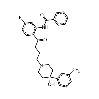 O=C(Nc1cc(F)ccc1C(=O)CCCN1CCC(O)(c2cccc(C(F)(F)F)c2)CC1)c1ccccc1